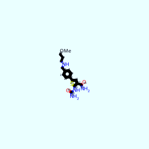 COCCCNCc1ccc(-c2cc(C(N)=O)c(NC(N)=O)s2)cc1